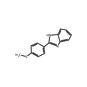 CSc1ccc(-c2nc3ccccc3[nH]2)cc1